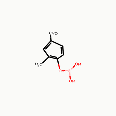 Cc1cc(C=O)ccc1OB(O)O